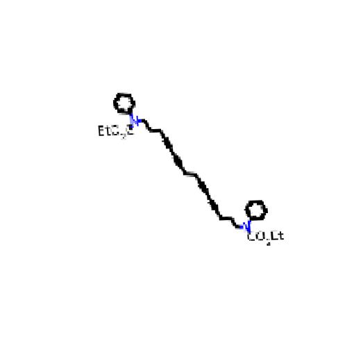 CCOC(=O)N(CCCC#CC#CCCC#CC#CCCCN(C(=O)OCC)c1ccccc1)c1ccccc1